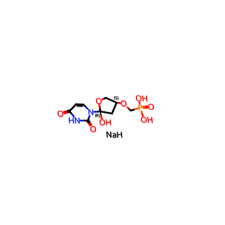 O=c1ccn([C@@]2(O)C[C@H](OCP(=O)(O)O)CO2)c(=O)[nH]1.[NaH]